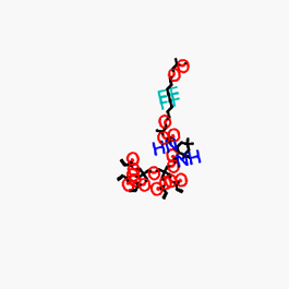 C=CC(=O)OCC(COCC(COC(=O)C=C)(COC(=O)C=C)COC(=O)NC1(C)CC(NC(=O)OC(C)COCCCC(F)(F)C(F)(F)CCCOCC(C)OC)CC(C)(C)C1)(COC(=O)C=C)COC(=O)C=C